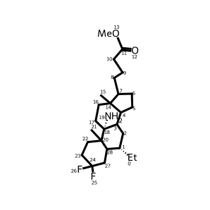 CC[C@H]1CC2C3CCC(CCCC(=O)OC)C3(C)CC[C@]2(N)C2(C)CCC(F)(F)CC12